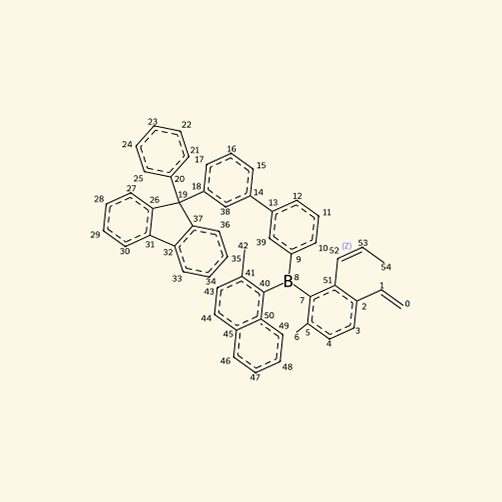 C=Cc1ccc(C)c(B(c2cccc(-c3cccc(C4(c5ccccc5)c5ccccc5-c5ccccc54)c3)c2)c2c(C)ccc3ccccc23)c1/C=C\C